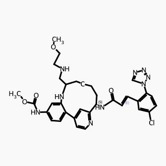 COCCNCC1CCCC[C@H](NC(=O)/C=C/c2cc(Cl)ccc2-n2cnnn2)c2cc(ccn2)-c2ccc(NC(=O)OC)cc2N1